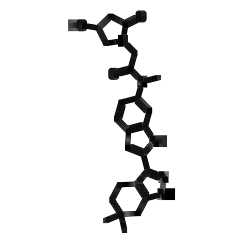 CN(C(=O)CN1CC(O)CC1=O)c1ccc2cc(-c3n[nH]c4c3CCC(C)(C)C4)[nH]c2c1